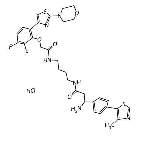 Cc1ncsc1-c1ccc([C@@H](N)CC(=O)NCCCCNC(=O)COc2c(-c3csc(N4CCOCC4)n3)ccc(F)c2F)cc1.Cl